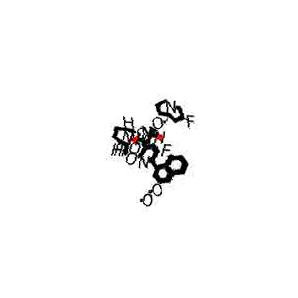 COCOc1cc(-c2cc3nc(OC[C@]45CCCN4C[C@H](F)C5)nc4c3c(n2)OC[C@@H]2[C@H]3CC[C@@H](CN42)N3C(=O)OC(C)(C)C)c2c(F)cccc2c1